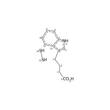 O=C(O)CCCc1c[nH]c2ccccc12.SS